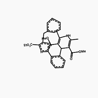 CCOC(=O)c1nc(-c2ccccc2C2C(C(=O)OC)=C(C)NC(C)=C2C(=O)OC)sc1Cc1ccccc1